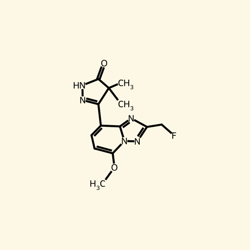 COc1ccc(C2=NNC(=O)C2(C)C)c2nc(CF)nn12